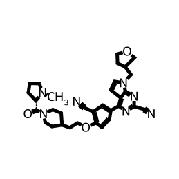 CN1CCC[C@H]1C(=O)N1CCC(CCOc2ccc(-c3nc(C#N)nc4c3ccn4CC3CCOC3)cc2C#N)CC1